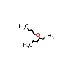 C[CH]C(CCC)OCCCC